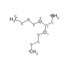 BCC(OCCCC)OCCCC